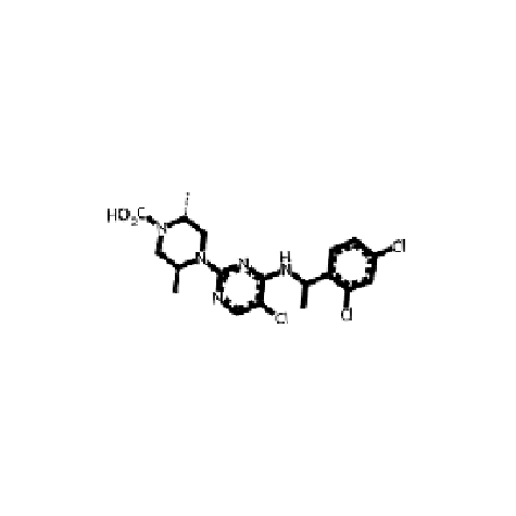 CC(Nc1nc(N2C[C@@H](C)N(C(=O)O)C[C@@H]2C)ncc1Cl)c1ccc(Cl)cc1Cl